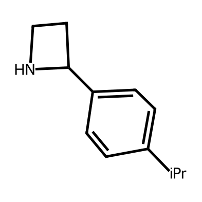 CC(C)c1ccc(C2CCN2)cc1